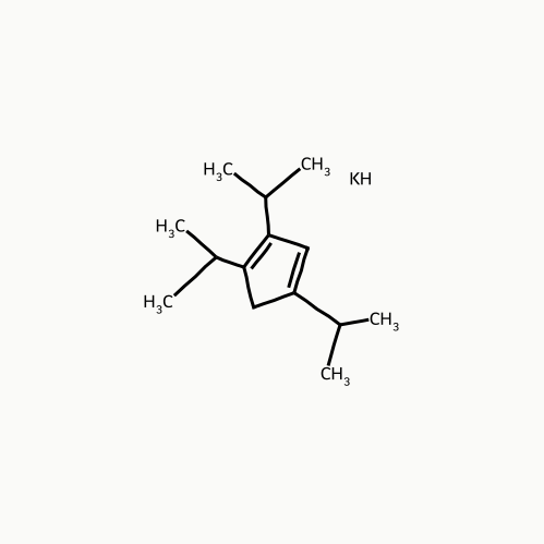 CC(C)C1=CC(C(C)C)=C(C(C)C)C1.[KH]